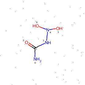 NC(=O)NN(O)O